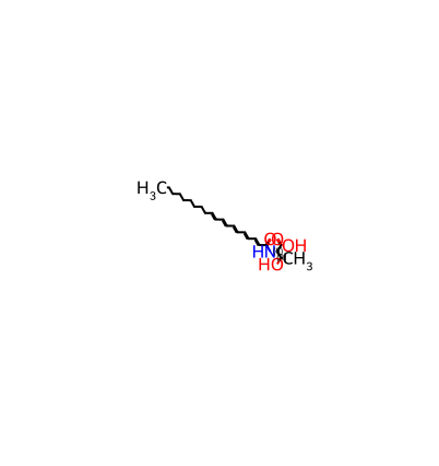 CCCCCCCCCC=CC=CC=CC=CC=CC(=O)N[C@H](C(=O)O)[C@@H](C)O